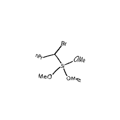 CCCC(Br)[Si](OC)(OC)OC